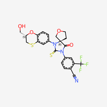 N#Cc1ccc(N2C(=O)[C@]3(CCOC3)N(c3ccc4c(c3)SC[C@H](CO)O4)C2=S)cc1C(F)(F)F